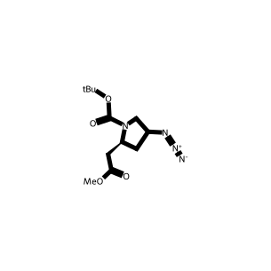 COC(=O)C[C@@H]1CC(N=[N+]=[N-])CN1C(=O)OC(C)(C)C